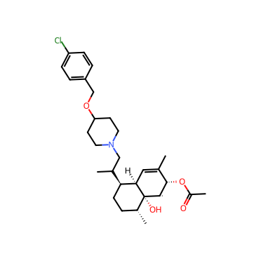 CC(=O)O[C@@H]1[CH][C@@]2(O)[C@H](C)CC[C@@H](C(C)CN3CCC(OCc4ccc(Cl)cc4)CC3)[C@H]2C=C1C